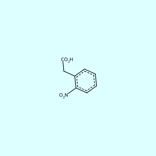 O=C(O)[CH]c1ccccc1[N+](=O)[O-]